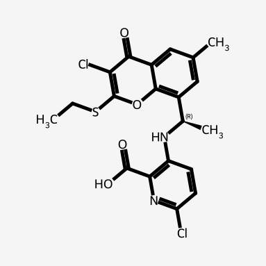 CCSc1oc2c([C@@H](C)Nc3ccc(Cl)nc3C(=O)O)cc(C)cc2c(=O)c1Cl